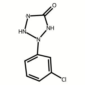 O=C1[N]NN(c2cccc(Cl)c2)N1